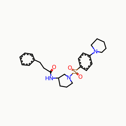 O=C(CCc1ccccc1)NC1CCCN(S(=O)(=O)c2ccc(N3CCCCC3)cc2)C1